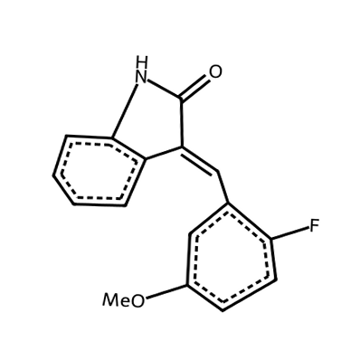 COc1ccc(F)c(/C=C2/C(=O)Nc3ccccc32)c1